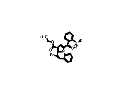 CCOC(=O)c1cc(C(=O)c2ccccc2[N+](=O)[O-])n2c1c(Br)cc1ccccc12